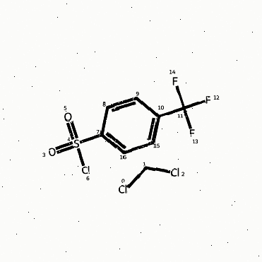 ClCCl.O=S(=O)(Cl)c1ccc(C(F)(F)F)cc1